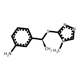 C[C@H](Sc1nncn1C)c1cccc(N)c1